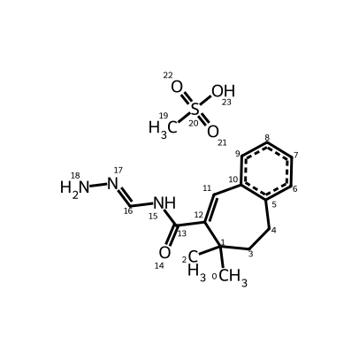 CC1(C)CCc2ccccc2C=C1C(=O)NC=NN.CS(=O)(=O)O